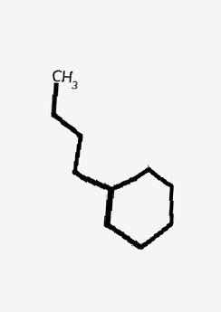 CCCCC1[CH]CCCC1